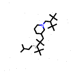 CC(C)CC[C@@H](C(C)(C)C)C(C)(C)CC1CCCN(CC(C(C)(C)C)C(C)(C)C)C1